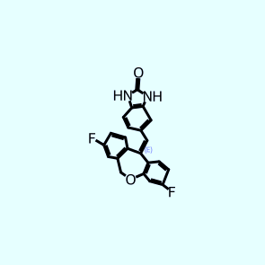 O=c1[nH]c2ccc(/C=C3\c4ccc(F)cc4COc4cc(F)ccc43)cc2[nH]1